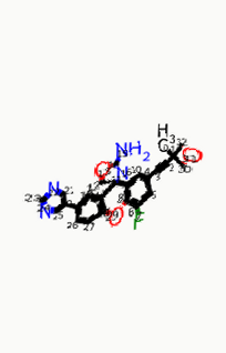 CC1(C#Cc2cc(F)c3c(c2)[C@]2(COC(N)=N2)c2cc(-c4cncnc4)ccc2O3)COC1